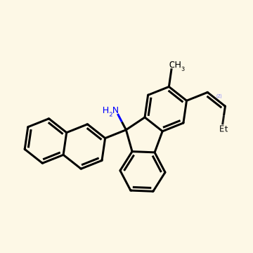 CC/C=C\c1cc2c(cc1C)C(N)(c1ccc3ccccc3c1)c1ccccc1-2